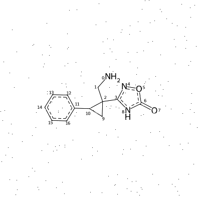 NCC1(c2noc(=O)[nH]2)CC1c1ccccc1